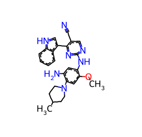 COc1cc(N2CCC(C)CC2)c(N)cc1Nc1ncc(C#N)c(-c2c[nH]c3ccccc23)n1